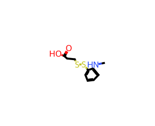 CNc1ccccc1SSCCC(=O)O